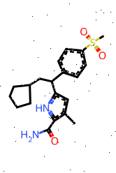 Cc1cc(C(CC2CCCC2)c2ccc(S(C)(=O)=O)cc2)[nH]c1C(N)=O